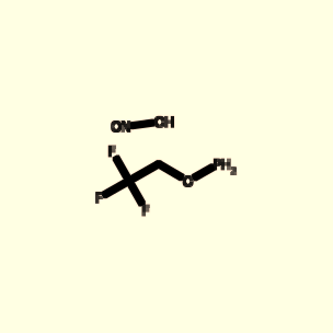 FC(F)(F)COP.O=NO